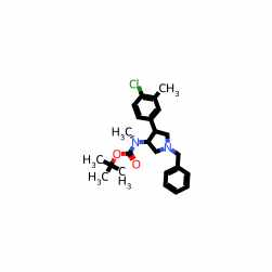 Cc1cc(C2CN(Cc3ccccc3)CC2N(C)C(=O)OC(C)(C)C)ccc1Cl